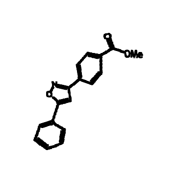 COC(=O)c1ccc(-c2cc(-c3ccccc3)on2)cc1